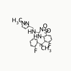 C[C@@H](c1ccccc1F)c1c(F)ccc2c1NC(NCc1ccn(C)n1)=NS2(=O)=O